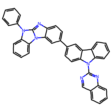 c1ccc(-n2c3ccccc3n3c4cc(-c5ccc6c(c5)c5ccccc5n6-c5ncc6ccccc6n5)ccc4nc23)cc1